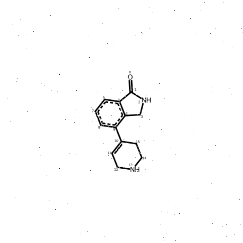 O=C1NCc2c1cccc2C1=CCNCC1